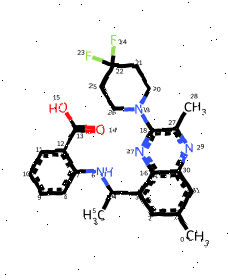 Cc1cc(C(C)Nc2ccccc2C(=O)O)c2nc(N3CCC(F)(F)CC3)c(C)nc2c1